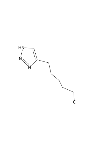 ClCCCCCc1c[nH]nn1